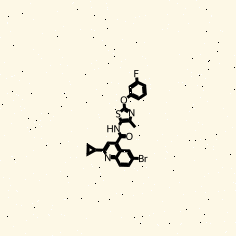 Cc1nc(Oc2cccc(F)c2)sc1NC(=O)c1cc(C2CC2)nc2ccc(Br)cc12